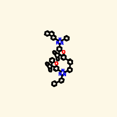 c1ccc(-c2cccc(-c3nc(-c4cccc(-c5cccc(-c6ccc7c(c6)Oc6cc(-c8nc(-c9ccccc9)nc(-c9ccc%10c(ccc%11ccccc%11%10)c9)n8)ccc6C76c7ccccc7-c7ccccc76)c5)c4)nc(-c4ccc5c(c4)Oc4ccccc4C54c5ccccc5-c5ccccc54)n3)c2)cc1